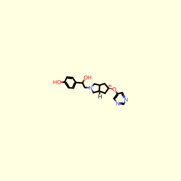 Oc1ccc(C(O)CN2CC3C[C@@H](Oc4cncnc4)C[C@@H]3C2)cc1